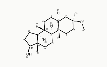 CO[C@@]1(C)CC[C@@]2(C)[C@@H](CC[C@@H]3[C@@H]2CC[C@]2(C)[C@@H](O)CC[C@@H]32)C1